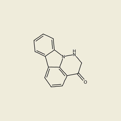 O=C1CNn2c3ccccc3c3cccc1c32